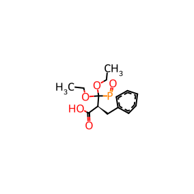 CCOC(OCC)(P=O)[C@@H](Cc1ccccc1)C(=O)O